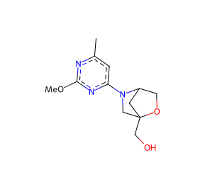 COc1nc(C)cc(N2CC3(CO)CC2CO3)n1